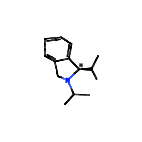 CC(C)[C@@H]1c2ccccc2CN1C(C)C